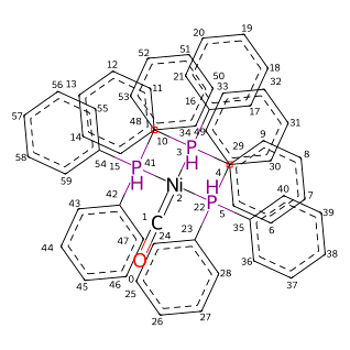 O=[C]=[Ni]([PH](c1ccccc1)(c1ccccc1)c1ccccc1)([PH](c1ccccc1)(c1ccccc1)c1ccccc1)[PH](c1ccccc1)(c1ccccc1)c1ccccc1